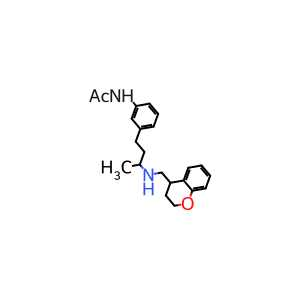 CC(=O)Nc1cccc(CCC(C)NCC2CCOc3ccccc32)c1